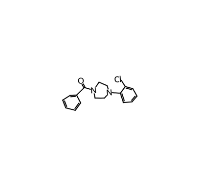 O=C(c1ccccc1)N1CCN(c2ccccc2Cl)CC1